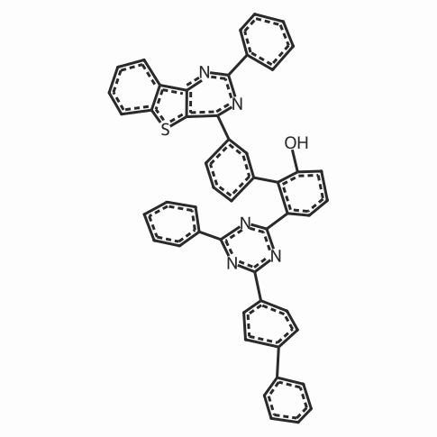 Oc1cccc(-c2nc(-c3ccccc3)nc(-c3ccc(-c4ccccc4)cc3)n2)c1-c1cccc(-c2nc(-c3ccccc3)nc3c2sc2ccccc23)c1